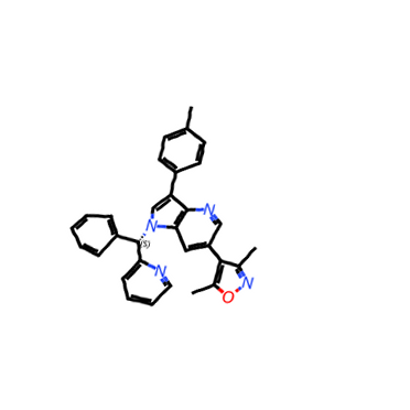 Cc1ccc(-c2cn([C@@H](c3ccccc3)c3ccccn3)c3cc(-c4c(C)noc4C)cnc23)cc1